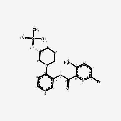 CC(C)(C)[Si](C)(C)O[C@@H]1CCCN(c2ccncc2NC(=O)c2nc(Br)ccc2N)C1